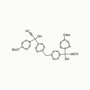 C#CC(O)(c1ccc(Cc2ccc(C(O)(C#C)c3ccc(OC)cc3)cc2)cc1)c1ccc(OC)cc1